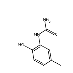 Cc1ccc(O)c(NC(N)=S)c1